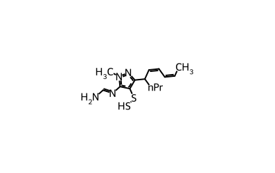 C/C=C\C=C/C(CCC)c1nn(C)c(/N=C/N)c1SS